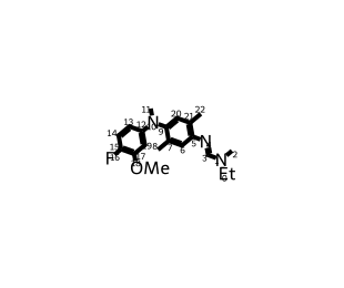 CCN(C)/C=N/c1cc(C)c(N(C)c2ccc(F)c(OC)c2)cc1C